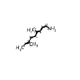 C/C=C(\C)CC/C(C)=C/C=C\N